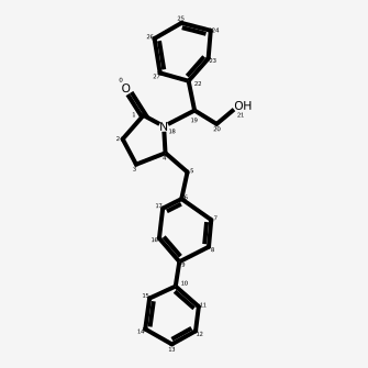 O=C1CCC(Cc2ccc(-c3ccccc3)cc2)N1C(CO)c1ccccc1